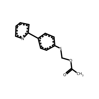 CC(=O)OCSc1ccc(-c2c[c]ccn2)cc1